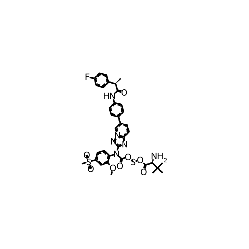 COc1cc(S(C)(=O)=O)ccc1N(C(=O)OSOC(=O)[C@@H](N)C(C)(C)C)c1nc2ccc(-c3ccc(NC(=O)[C@H](C)c4ccc(F)cc4)cc3)cn2n1